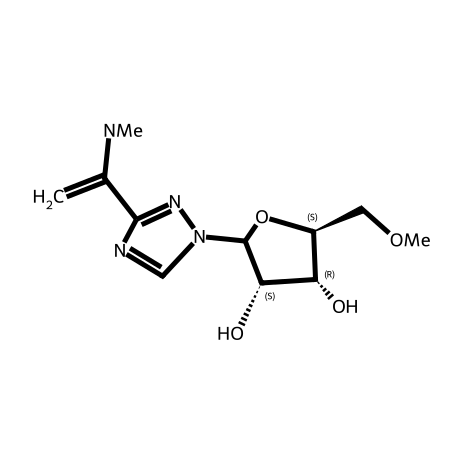 C=C(NC)c1ncn(C2O[C@@H](COC)[C@H](O)[C@@H]2O)n1